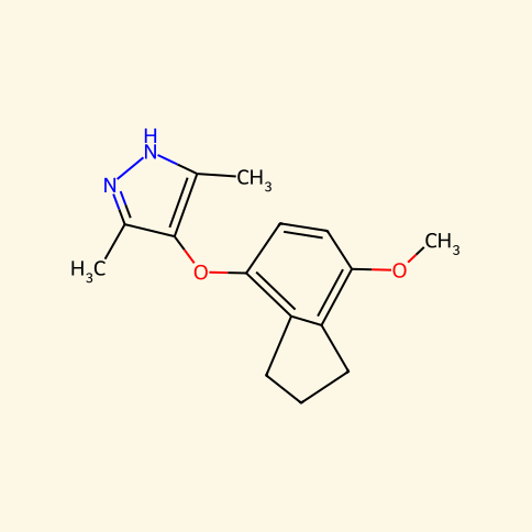 COc1ccc(Oc2c(C)n[nH]c2C)c2c1CCC2